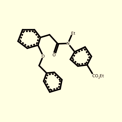 CCOC(=O)c1ccc(N(CC)C(=O)Cc2ccccc2OCc2ccccc2)cc1